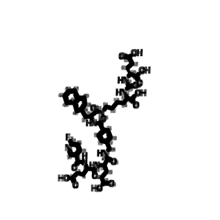 O=C(O)CCC(NC(=O)c1ccc(F)nc1)C(=O)NC(CCC(=O)O)C(=O)NCc1ccc(C(=O)NC(Cc2ccc3ccccc3c2)C(=O)NCCCCC(NC(=O)N[C@@H](CCC(=O)O)C(=O)O)C(=O)O)cc1